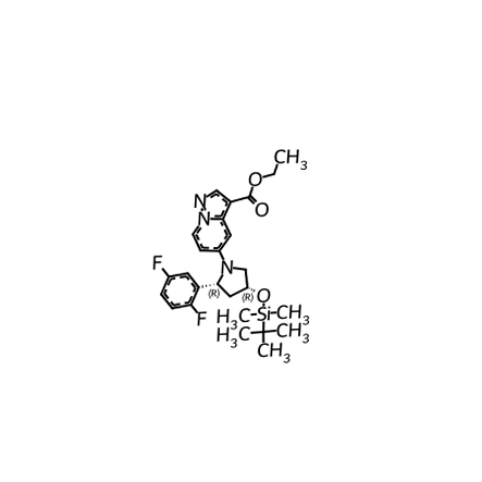 CCOC(=O)c1cnn2ccc(N3C[C@H](O[Si](C)(C)C(C)(C)C)C[C@@H]3c3cc(F)ccc3F)cc12